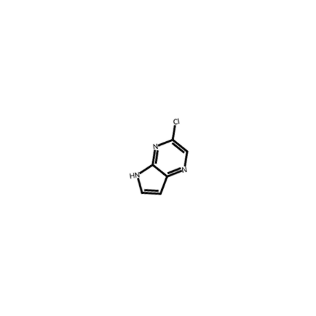 Clc1cnc2cc[nH]c2n1